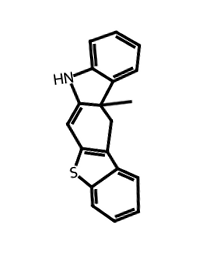 CC12Cc3c(sc4ccccc34)C=C1Nc1ccccc12